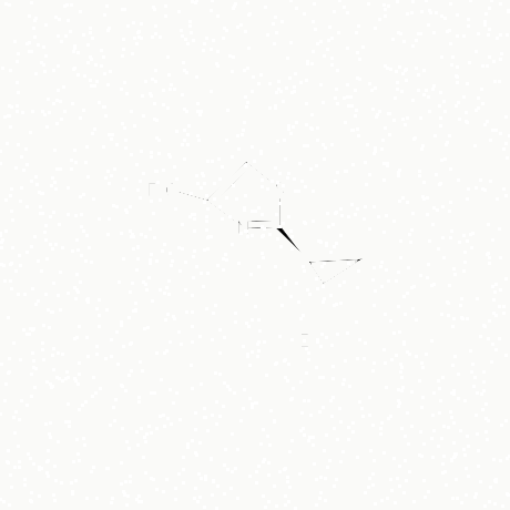 CC[C@H]1C[C@@H]1c1nc(C(F)(F)F)cs1